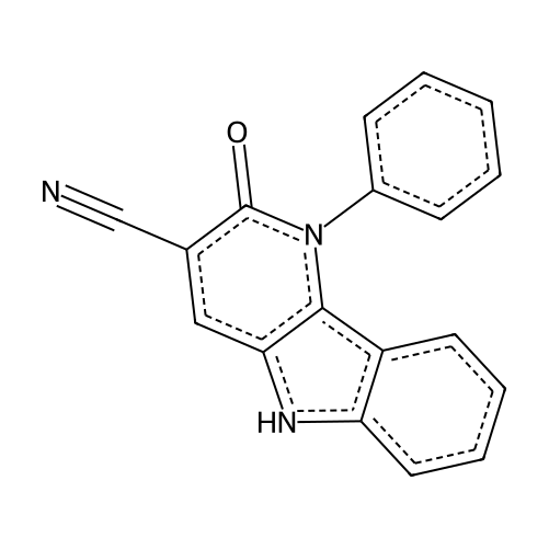 N#Cc1cc2[nH]c3ccccc3c2n(-c2ccccc2)c1=O